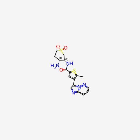 Cc1sc(C(=O)N[C@H]2CS(=O)(=O)CC[C@H]2N)cc1-c1cnc2cccnn12